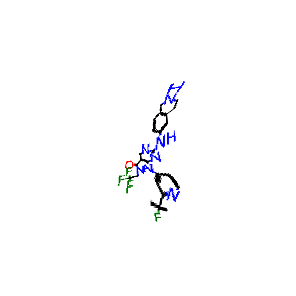 CC(C)(F)c1cc(-n2c3nc(Nc4ccc5c(c4)CCNC5)ncc3c(=O)n2CC(F)(F)F)ccn1